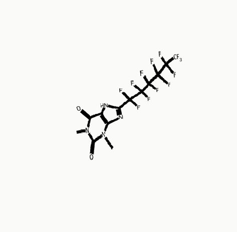 Cn1c(=O)c2[nH]c(C(F)(F)C(F)(F)C(F)(F)C(F)(F)C(F)(F)C(F)(F)F)nc2n(C)c1=O